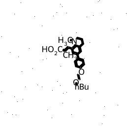 CCCCOCCOc1ccc(-c2cc(/C=C(\C)C(=O)O)c3c(c2)CCCN3C)cc1